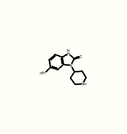 CCCc1ccc2[nH]c(=O)n(C3CCNCC3)c2c1